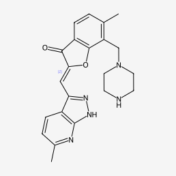 Cc1ccc2c(/C=C3\Oc4c(ccc(C)c4CN4CCNCC4)C3=O)n[nH]c2n1